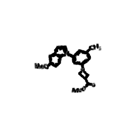 COC(=O)C1CN(c2cc(C)cc(-n3ccc4cc(OC)ccc43)c2)C1